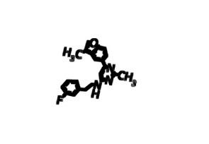 Cc1nc(NCCc2cccc(F)c2)cc(-c2ccc3occ(C)c3c2)n1